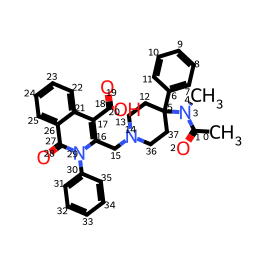 CC(=O)N(C)C1(c2ccccc2)CCN(Cc2c(C(=O)O)c3ccccc3c(=O)n2-c2ccccc2)CC1